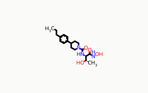 CCCc1ccc(C2CCN(C(=O)N[C@@H](C(=O)NO)[C@H](C)O)CC2)cc1